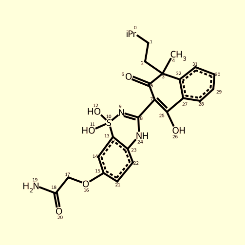 CC(C)CCC1(C)C(=O)C(C2=NS(O)(O)c3cc(OCC(N)=O)ccc3N2)=C(O)c2ccccc21